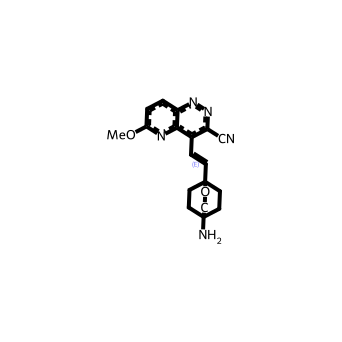 COc1ccc2nnc(C#N)c(/C=C/C34CCC(N)(CC3)CO4)c2n1